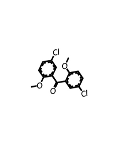 COc1ccc(Cl)cc1C(=O)c1cc(Cl)ccc1OC